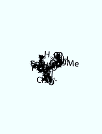 COc1ccc(S(=O)(=O)NCC(=O)O[C@@H](Cc2c(Cl)c[n+]([O-])cc2Cl)c2ccc(OC(F)F)c(OCC3CC3)c2)cc1NS(C)(=O)=O